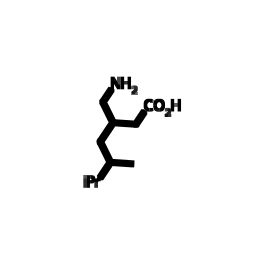 CC(C)C(C)CC(CN)CC(=O)O